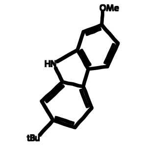 COc1ccc2c(c1)[nH]c1cc(C(C)(C)C)ccc12